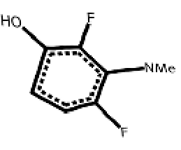 CNc1c(F)ccc(O)c1F